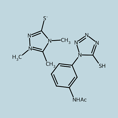 CC(=O)Nc1cccc(-n2nnnc2S)c1.Cc1n(C)c([S-])n[n+]1C